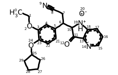 CCOc1cc(C(CC#N)C2C(=O)c3ncccc3[NH+]2[O-])ccc1OC1CCCC1